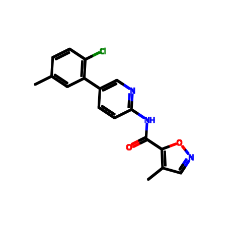 Cc1ccc(Cl)c(-c2ccc(NC(=O)c3oncc3C)nc2)c1